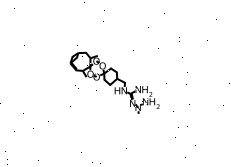 CC1C=C2CC(C2)CC(C)C12OOC1(CCC(CN/C(N)=N/N(C)N)CC1)OO2